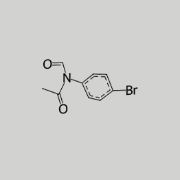 CC(=O)N(C=O)c1ccc(Br)cc1